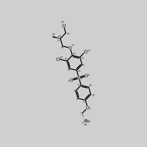 CC[C@@H](C)COc1ccc(S(=O)(=O)c2cc(Cl)c(OC[C@@H](C)CCl)c(Cl)c2)cc1